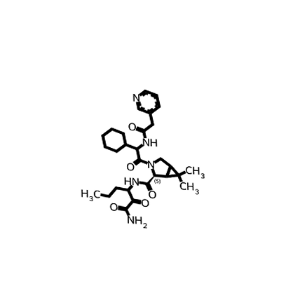 CCCC(NC(=O)[C@@H]1C2C(CN1C(=O)C(NC(=O)Cc1cccnc1)C1CCCCC1)C2(C)C)C(=O)C(N)=O